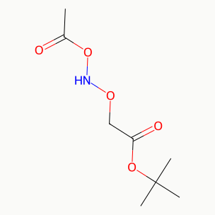 CC(=O)ONOCC(=O)OC(C)(C)C